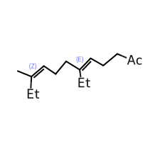 CC/C(C)=C\CC/C(=C/CCC(C)=O)CC